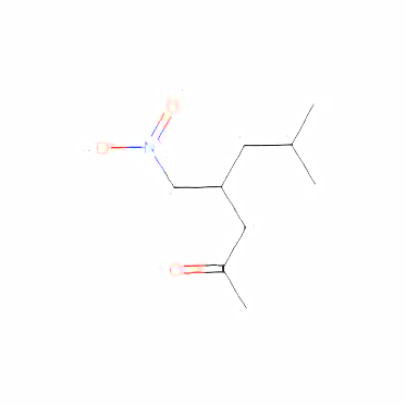 CC(=O)CC(CC(C)C)C[N+](=O)[O-]